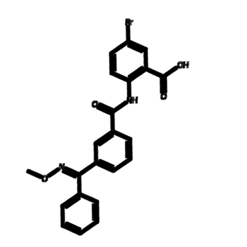 CO/N=C(\c1ccccc1)c1cccc(C(=O)Nc2ccc(Br)cc2C(=O)O)c1